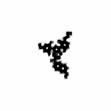 COc1cc(F)c([C@@H]2CN(c3c(C)ccn(CCO)c3=O)C(=O)C2NC(=O)Nc2ccc3cc(OC)ccc3c2)c(F)c1